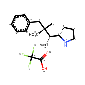 CO[C@@H]([C@@H]1CCCN1)[C@@](C)(Cc1ccccc1)C(=O)O.O=C(O)C(F)(F)F